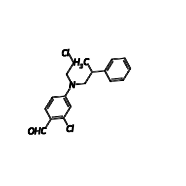 CC(CN(CCCl)c1ccc(C=O)c(Cl)c1)c1ccccc1